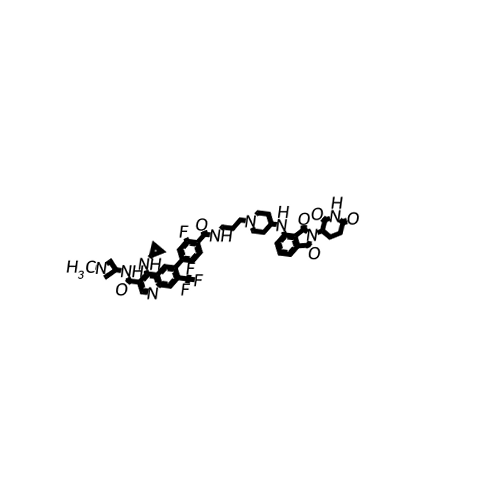 CN1CC(NC(=O)c2cnc3cc(C(F)(F)F)c(-c4ccc(C(=O)NCCCN5CCC(Nc6cccc7c6C(=O)N(C6CCC(=O)NC6=O)C7=O)CC5)c(F)c4)cc3c2NC2CC2)C1